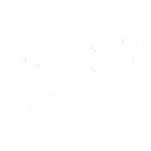 CC(F)(F)CCc1cnc(-c2ccc(S(=O)(=O)C3(C(=O)OC(C)(C)C)CCOCC3)cc2)cn1